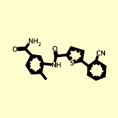 Cc1ccc(C(N)=O)cc1NC(=O)c1ccc(-c2ccccc2C#N)s1